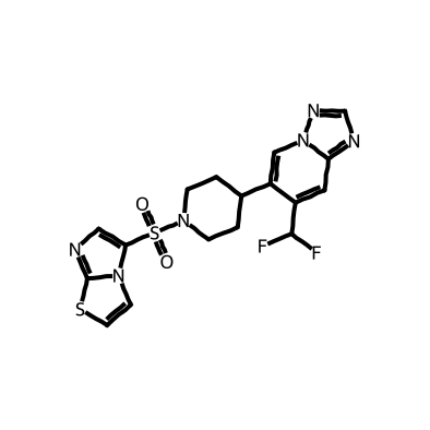 O=S(=O)(c1cnc2sccn12)N1CCC(c2cn3ncnc3cc2C(F)F)CC1